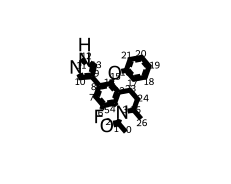 CC(=O)N1c2c(F)cc(-c3cn[nH]c3)c(Oc3ccccc3)c2CCC1C